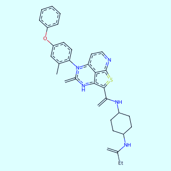 C=C(CC)NC1CCC(NC(=C)c2sc3nccc4c3c2[nH]c(=C)n4-c2ccc(Oc3ccccc3)cc2C)CC1